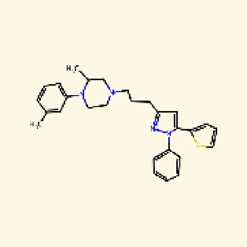 Cc1cccc(N2CCN(CCCc3cc(-c4cccs4)n(-c4ccccc4)n3)CC2C)c1